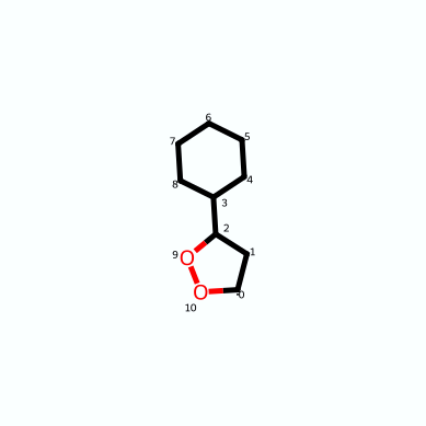 [CH]1CC(C2CCCCC2)OO1